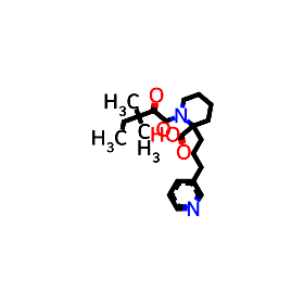 CCC(C)(C)C(=O)C(=O)N1CCCCC1(CCCc1cccnc1)C(=O)O